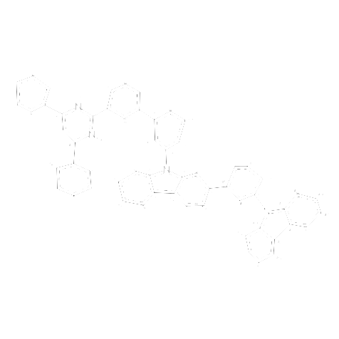 c1ccc(-c2cc(-c3ccccc3)nc(-c3cccc(-c4cccc(-n5c6ccccc6c6ccc(-c7cccc(-n8c9ccccc9c9ccccc98)c7)cc65)c4)c3)n2)cc1